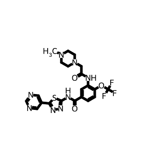 CN1CCN(CC(=O)Nc2cc(C(=O)Nc3nnc(-c4cncnc4)s3)ccc2OC(F)(F)F)CC1